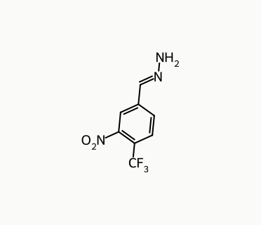 NN=Cc1ccc(C(F)(F)F)c([N+](=O)[O-])c1